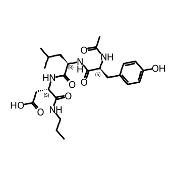 CCCNC(=O)[C@H](CC(=O)O)NC(=O)[C@@H](CC(C)C)NC(=O)[C@H](Cc1ccc(O)cc1)NC(C)=O